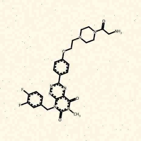 Cn1c(=O)c2nc(-c3ccc(OCCN4CCN(C(=O)CN)CC4)cc3)nnc2n(Cc2ccc(F)c(F)c2)c1=O